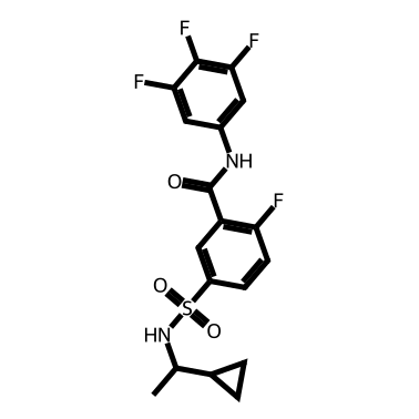 CC(NS(=O)(=O)c1ccc(F)c(C(=O)Nc2cc(F)c(F)c(F)c2)c1)C1CC1